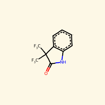 O=C1Nc2c[c]ccc2C1(C(F)(F)F)C(F)(F)F